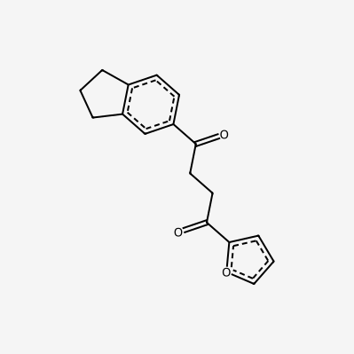 O=C(CCC(=O)c1ccco1)c1ccc2c(c1)CCC2